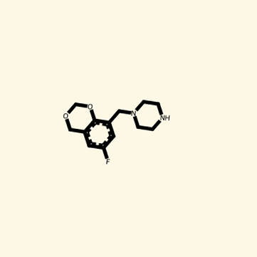 Fc1cc2c(c(CN3CCNCC3)c1)OCOC2